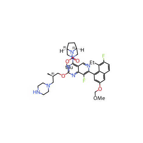 CCc1c(F)ccc2cc(OCOC)cc(-c3ncc4c(N5C[C@H]6CC[C@@H](C5)N6C(=O)OC(C)(C)C)nc(OC[C@H](C)CN5CCNCC5)nc4c3F)c12